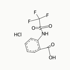 Cl.O=C(O)c1ccccc1NS(=O)(=O)C(F)(F)F